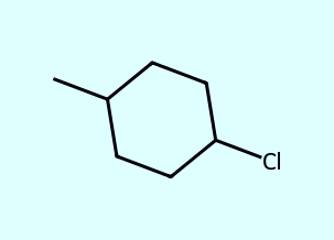 CC1CCC(Cl)CC1